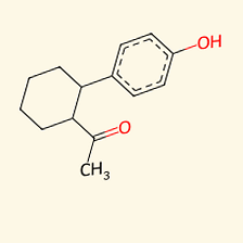 CC(=O)C1CCCCC1c1ccc(O)cc1